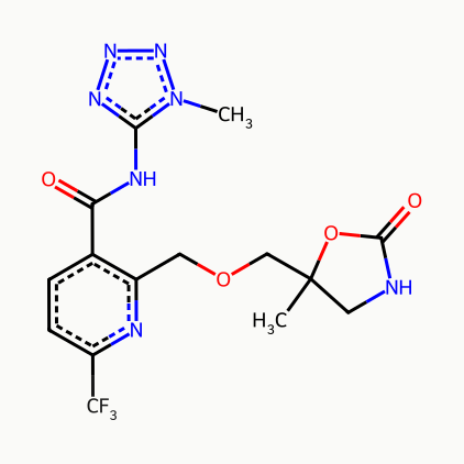 Cn1nnnc1NC(=O)c1ccc(C(F)(F)F)nc1COCC1(C)CNC(=O)O1